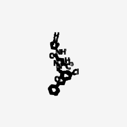 Cc1cc(C(=O)N[C@@H]2CCNC2)nn1Cc1cc(Cl)cc2cc(-c3ccccc3)oc12